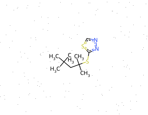 CC(C)(C)CC(C)(C)Sc1nncs1